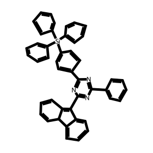 C1=CC2=C(c3nc(-c4ccccc4)nc(-c4ccc([Si](c5ccccc5)(c5ccccc5)c5ccccc5)cc4)n3)c3ccccc3C2C=C1